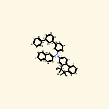 CC1(C)c2ccccc2-c2ccc(N(c3cccc(-c4cccc(-c5ccccc5)c4)c3)c3ccc4ccccc4c3)cc2C1(C)C